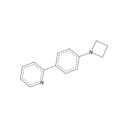 c1ccc(-c2ccc(N3CCC3)cc2)nc1